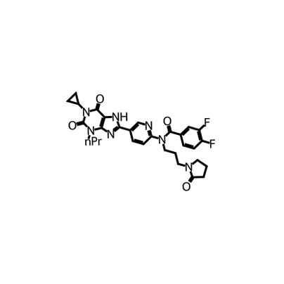 CCCn1c(=O)n(C2CC2)c(=O)c2[nH]c(-c3ccc(N(CCCN4CCCC4=O)C(=O)c4ccc(F)c(F)c4)nc3)nc21